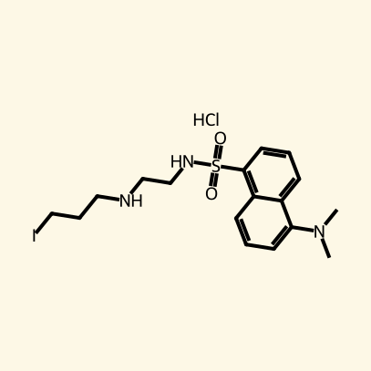 CN(C)c1cccc2c(S(=O)(=O)NCCNCCCI)cccc12.Cl